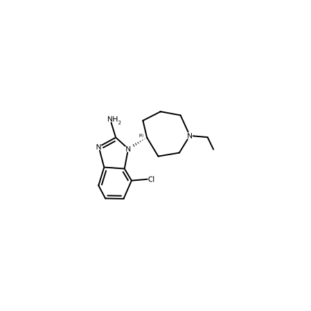 CCN1CCC[C@@H](n2c(N)nc3cccc(Cl)c32)CC1